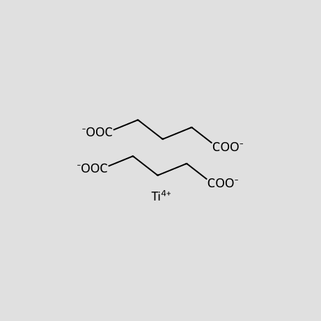 O=C([O-])CCCC(=O)[O-].O=C([O-])CCCC(=O)[O-].[Ti+4]